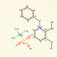 CCc1ccc[n+](Cc2ccccc2)c1CC.O=S(=O)([O-])C(F)(F)F